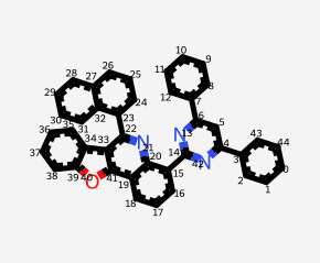 c1ccc(-c2cc(-c3ccccc3)nc(-c3cccc4c3nc(-c3cccc5ccccc35)c3c5ccccc5oc43)n2)cc1